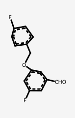 O=Cc1cc(F)cc(OCc2ccc(F)cc2)c1